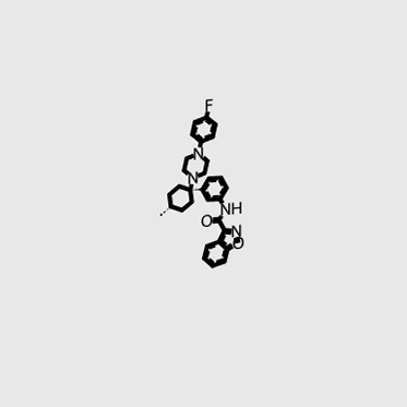 C[C@H]1CC[C@](c2cccc(NC(=O)c3noc4ccccc34)c2)(N2CCN(c3ccc(F)cc3)CC2)CC1